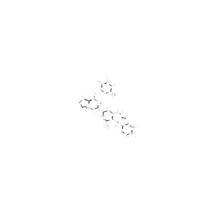 CC1(c2cc(O)c(Cl)c(F)c2)C(=O)Nc2nc(-c3cn4ccnc4c(Cc4cc(F)cc(F)c4F)n3)nc(N)c21